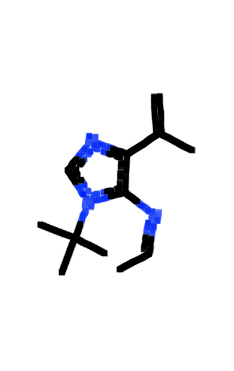 C=C(C)c1ncn(C(C)(C)C)c1/N=C\C